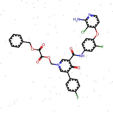 Nc1nccc(Oc2ccc(NC(=O)c3cn(COC(=O)C(=O)OCc4ccccc4)cc(-c4ccc(F)cc4)c3=O)cc2F)c1Cl